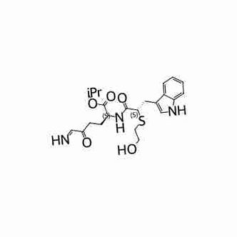 CC(C)OC(=O)[C@H](CCC(=O)C=N)NC(=O)[C@H](Cc1c[nH]c2ccccc12)SCCO